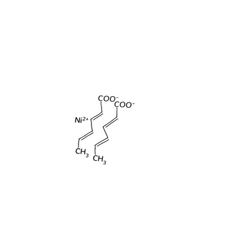 C/C=C/C=C/C(=O)[O-].C/C=C/C=C/C(=O)[O-].[Ni+2]